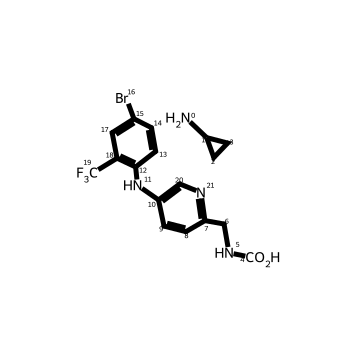 NC1CC1.O=C(O)NCc1ccc(Nc2ccc(Br)cc2C(F)(F)F)cn1